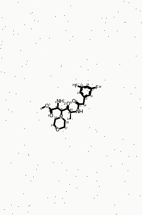 COC(=O)C(N)C(C(=O)[C@H](C)NC(=O)Cc1cc(F)cc(F)c1)N1CCOCC1